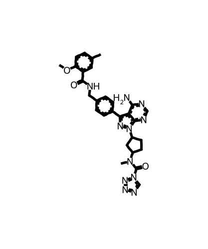 COc1ccc(C)cc1C(=O)NCc1ccc(-c2nn(C3CCC(N(C)C(=O)n4cnnn4)C3)c3ncnc(N)c23)cc1